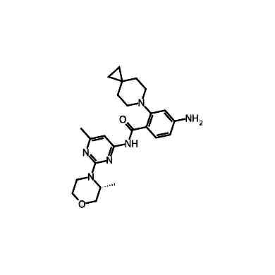 Cc1cc(NC(=O)c2ccc(N)cc2N2CCC3(CC2)CC3)nc(N2CCOC[C@H]2C)n1